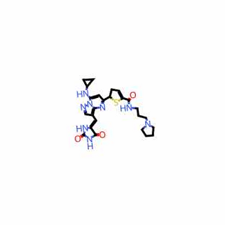 O=C1NC(=O)/C(=C/c2cnn3c(NC4CC4)cc(C4CC=C(C(=O)NCCCN5CCCC5)S4)nc23)N1